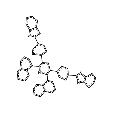 c1ccc2c(-c3nc(-c4cccc5ccccc45)c(-c4ccc(-c5nc6ccccc6s5)cc4)cc3-c3ccc(-c4nc5ccccc5s4)cc3)cccc2c1